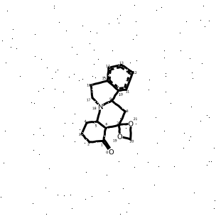 O=C1CCCC2C1C1(CC3c4ccccc4CCN32)OCO1